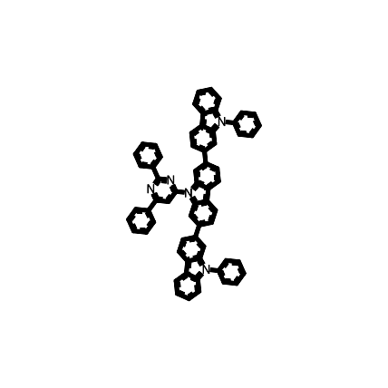 c1ccc(-c2cc(-n3c4cc(-c5ccc6c7ccccc7n(-c7ccccc7)c6c5)ccc4c4ccc(-c5ccc6c7ccccc7n(-c7ccccc7)c6c5)cc43)nc(-c3ccccc3)n2)cc1